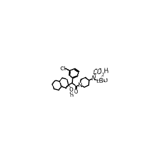 CC(C)(C)N(C(=O)O)C1CCN(C(=O)C(c2cccc(Cl)c2)C2(O)CCC3CCCCC3C2)CC1